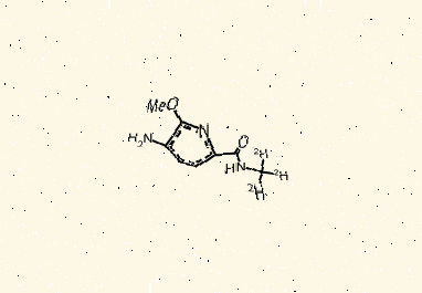 [2H]C([2H])([2H])NC(=O)c1ccc(N)c(OC)n1